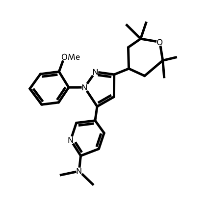 COc1ccccc1-n1nc(C2CC(C)(C)OC(C)(C)C2)cc1-c1ccc(N(C)C)nc1